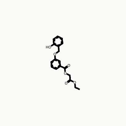 CCOC(=O)COC(=O)c1cccc(OCc2ccccc2O)c1